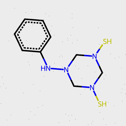 SN1CN(S)CN(Nc2ccccc2)C1